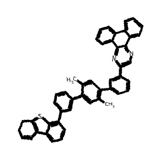 Cc1cc(-c2cccc(-c3cccc4c5c(sc34)CCC=C5)c2)c(C)cc1-c1cccc(-c2cnc3c4ccccc4c4ccccc4c3n2)c1